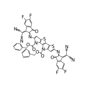 N#CC(C#N)=C1/C(=N/c2cc3c(s2)c2sc4cc(/N=C5\C(=O)c6cc(F)c(F)cc6C5=C(C#N)C#N)n(C(=O)OCc5ccccc5)c4c2n3C(=O)OCc2ccccc2)C(=O)c2cc(F)c(F)cc21